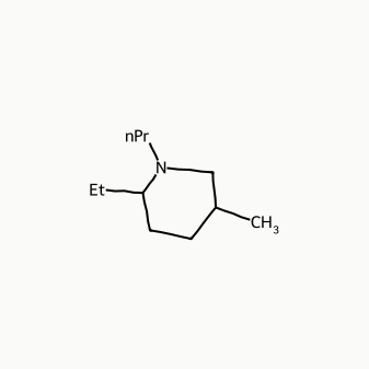 CCCN1CC(C)CCC1CC